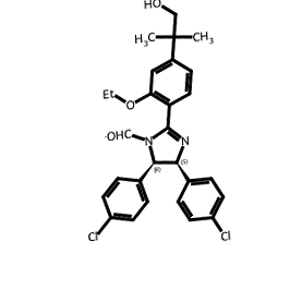 CCOc1cc(C(C)(C)CO)ccc1C1=N[C@@H](c2ccc(Cl)cc2)[C@@H](c2ccc(Cl)cc2)N1[C]=O